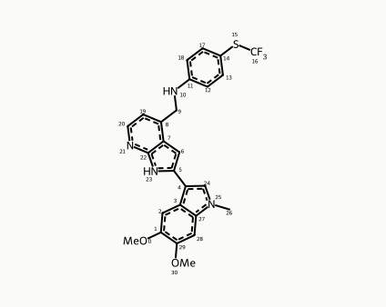 COc1cc2c(-c3cc4c(CNc5ccc(SC(F)(F)F)cc5)ccnc4[nH]3)cn(C)c2cc1OC